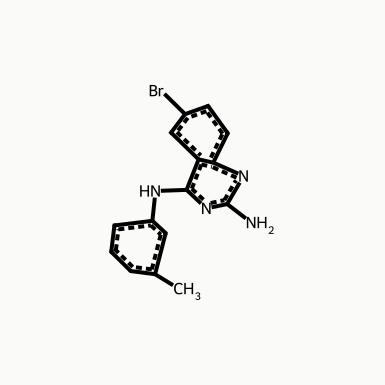 Cc1cccc(Nc2nc(N)nc3ccc(Br)cc23)c1